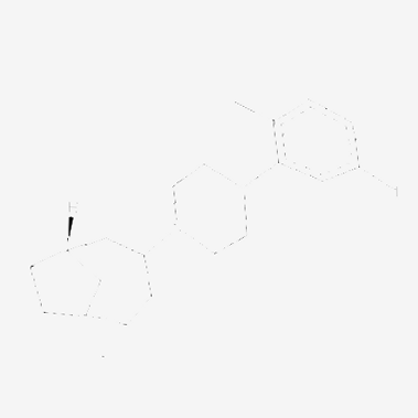 Cc1ccc(F)cc1C1CCN(C2CC[C@H]3CC[C@H](C2)C3)CC1